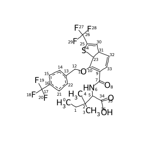 CCC(C)(C)C(NC(=O)C1=C(OCc2ccc(C(F)(F)F)cc2)C2SC(C(F)(F)F)=CC2C=C1)C(=O)O